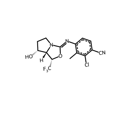 Cc1c(N=C2O[C@H](C(F)(F)F)[C@@H]3[C@H](O)CCN23)ccc(C#N)c1Cl